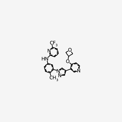 Cc1ccc(Nc2cccc(C(F)(F)F)n2)cc1-n1cc(-c2cnccc2OC2COC2)cn1